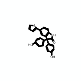 O=C1Nc2ccc(-c3cccs3)cc2C1(c1ccc(O)cc1)c1ccc(O)cc1